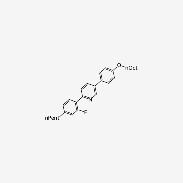 CCCCCCCCOc1ccc(-c2ccc(-c3ccc(CCCCC)cc3F)nc2)cc1